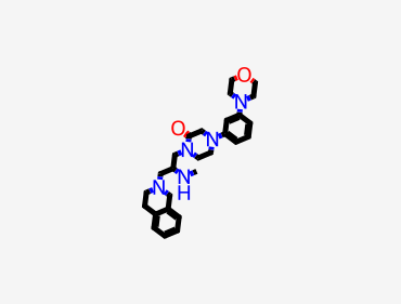 CNC(CN1CCc2ccccc2C1)CN1CCN(c2cccc(N3CCOCC3)c2)CC1=O